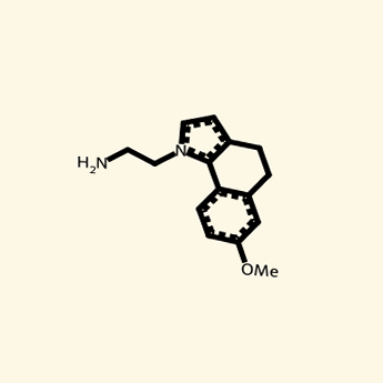 COc1ccc2c(c1)CCc1ccn(CCN)c1-2